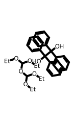 CCOC(OCC)OC(OCC)OCC.OC(c1ccccc1)(c1ccccc1)C(O)(c1ccccc1)c1ccccc1